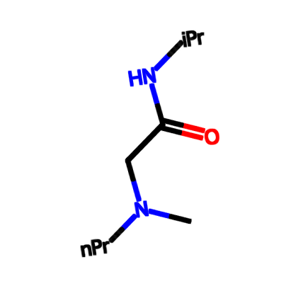 CCCN(C)CC(=O)NC(C)C